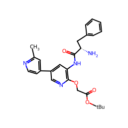 Cc1cc(-c2cnc(OCC(=O)OC(C)(C)C)c(NC(=O)[C@@H](N)Cc3ccccc3)c2)ccn1